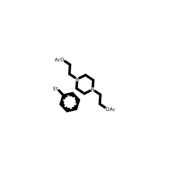 CC(=O)OCCN1CCN(CCOC(C)=O)CC1.CCc1ccccc1